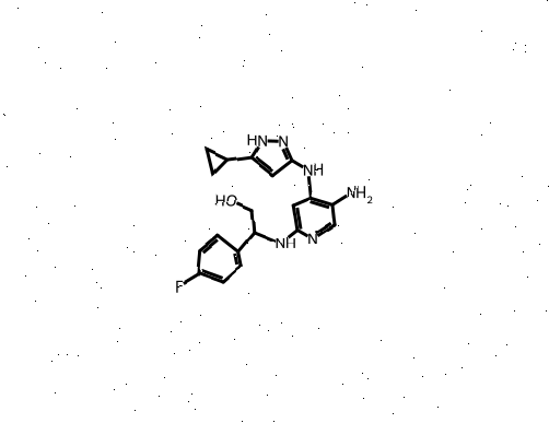 Nc1cnc(NC(CO)c2ccc(F)cc2)cc1Nc1cc(C2CC2)[nH]n1